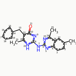 Cc1ccc2nc(Nc3nc(=O)c(Cc4ccccc4)c(C)[nH]3)nc(C)c2c1